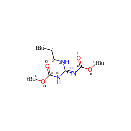 CC(C)(C)CCN/C(=N\C(=O)OC(C)(C)C)NC(=O)OC(C)(C)C